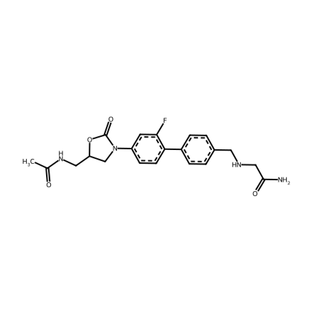 CC(=O)NCC1CN(c2ccc(-c3ccc(CNCC(N)=O)cc3)c(F)c2)C(=O)O1